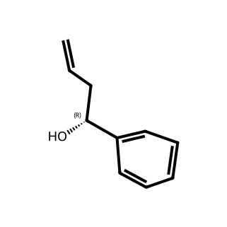 C=CC[C@@H](O)c1ccccc1